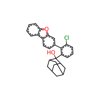 OC1(c2cccc(Cl)c2-c2ccc3c(c2)oc2ccccc23)C2CC3CC(C2)CC1C3